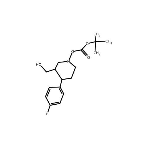 CC(C)(C)OC(=O)ON1CCC(c2ccc(F)cc2)C(CO)C1